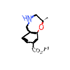 C[C@H]1CNCc2ccc(C(=O)O)cc2O1